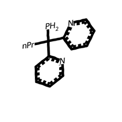 CCCC(P)(c1ccccn1)c1ccccn1